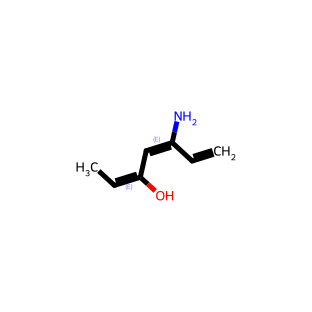 C=C/C(N)=C\C(O)=C/C